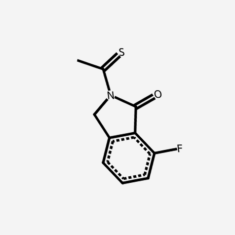 CC(=S)N1Cc2cccc(F)c2C1=O